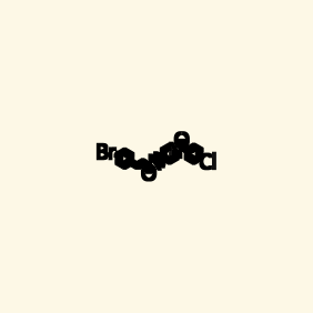 O=C(C=Cc1ccc(Br)cc1)N1CC2(CCN(C(=O)c3ccc(Cl)cc3)CC2)C1